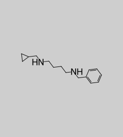 c1ccc(CNCCCCNCC2CC2)cc1